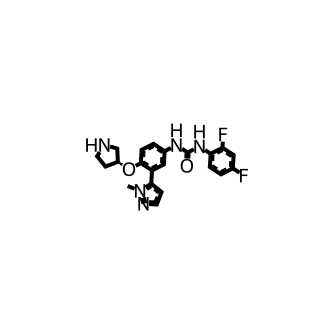 Cn1nccc1-c1cc(NC(=O)Nc2ccc(F)cc2F)ccc1O[C@H]1CCNC1